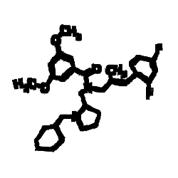 COc1cc(OC)cc(C(=O)N(C/C(C)=C/c2ccc(F)cc2F)CC2CCCN2CC2CCCCC2)c1